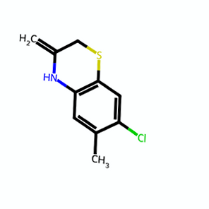 C=C1CSc2cc(Cl)c(C)cc2N1